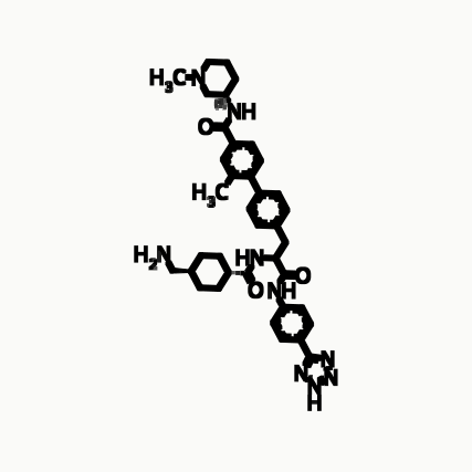 Cc1cc(C(=O)N[C@H]2CCCN(C)C2)ccc1-c1ccc(CC(NC(=O)[C@H]2CC[C@H](CN)CC2)C(=O)Nc2ccc(-c3nn[nH]n3)cc2)cc1